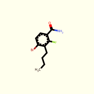 CCCCc1c(Br)ccc(C(N)=O)c1F